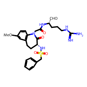 COc1ccc2c(c1)CC[C@@H](NS(=O)(=O)Cc1ccccc1)C(=O)N2CC(=O)N[C@H](C=O)CCCNC(=N)N